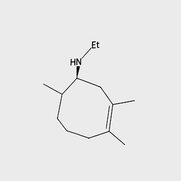 CCN[C@H]1C/C(C)=C(/C)CCCC1C